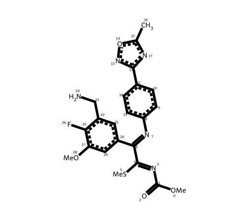 COC(=O)/N=C(SC)/C(=N/c1ccc(-c2noc(C)n2)cc1)c1cc(CN)c(F)c(OC)c1